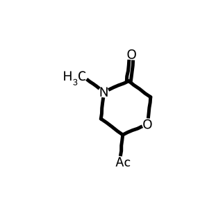 CC(=O)C1CN(C)C(=O)CO1